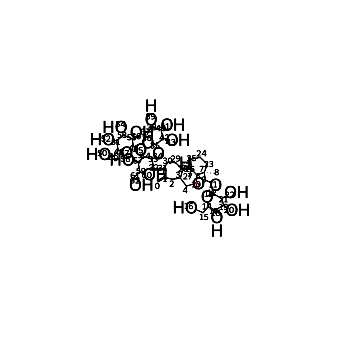 C=C1CC2CCC3[C@](C)(C(=O)OC4OC(CO)C(O)C(O)C4O)CCC[C@@]3(C)[C@@H]2CCC1CC(OC1OCC(O)C(O)C1O)C(OC1OC(CO)C(O)C(O)C1O)C(O)C(O)CO